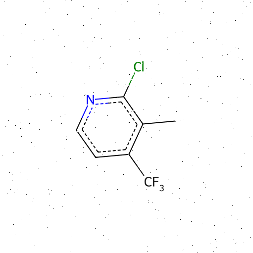 Cc1c(C(F)(F)F)ccnc1Cl